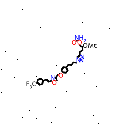 COC(CCc1cn(CCCCc2ccc(OCc3coc(C=Cc4ccc(C(F)(F)F)cc4)n3)cc2)nn1)COC(N)=O